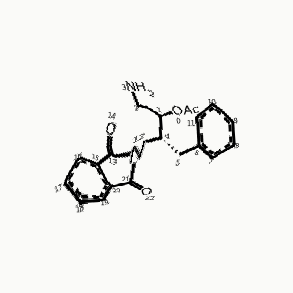 CC(=O)O[C@H](CN)[C@H](Cc1ccccc1)N1C(=O)c2ccccc2C1=O